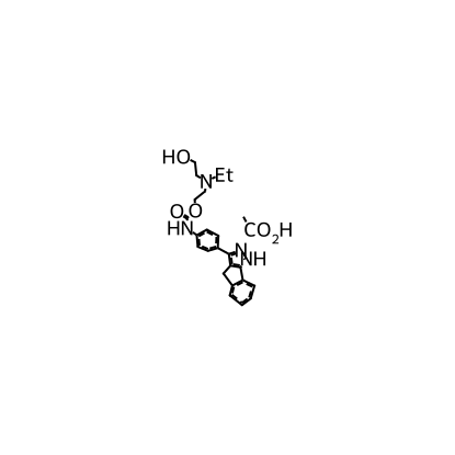 CC(=O)O.CCN(CCO)CCOC(=O)Nc1ccc(-c2n[nH]c3c2Cc2ccccc2-3)cc1